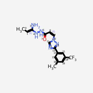 C/C=C(\N)NNC(=O)/C=C\n1cnc(-c2cc(C)cc(C(F)(F)F)c2)n1